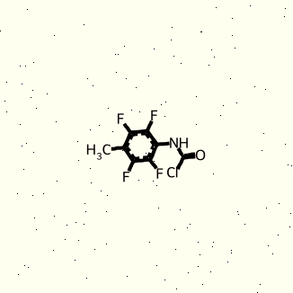 Cc1c(F)c(F)c(NC(=O)Cl)c(F)c1F